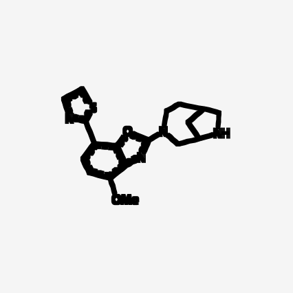 COc1ccc(-c2nccs2)c2oc(N3CCC4CNC(C4)C3)nc12